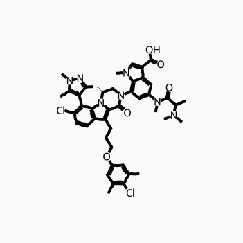 Cc1cc(OCCCc2c3n(c4c(-c5c(C)nn(C)c5C)c(Cl)ccc24)[C@H](C)CN(c2cc(N(C)C(=O)C(C)N(C)C)cc4c(C(=O)O)cn(C)c24)C3=O)cc(C)c1Cl